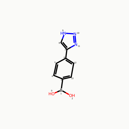 OB(O)c1ccc(-c2c[nH]nn2)cc1